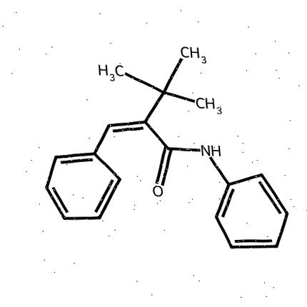 CC(C)(C)C(=Cc1ccccc1)C(=O)Nc1ccccc1